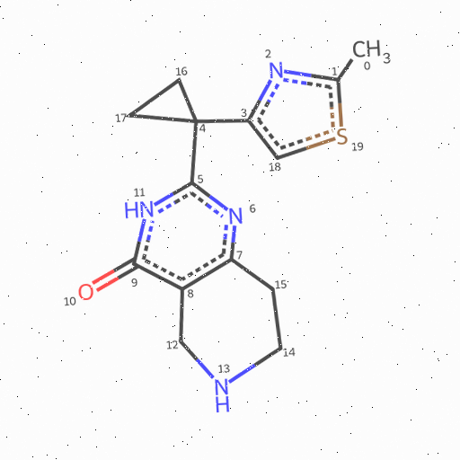 Cc1nc(C2(c3nc4c(c(=O)[nH]3)CNCC4)CC2)cs1